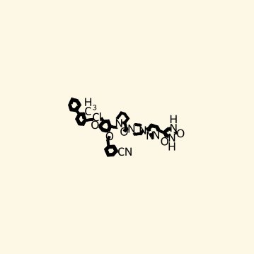 Cc1c(COc2cc(OCc3cccc(C#N)c3)c(CN3CCCCC3C(=O)N3CCN(c4ccc(-c5c[nH]c(=O)[nH]c5=O)nn4)CC3)cc2Cl)cccc1-c1ccccc1